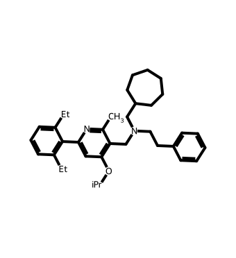 CCc1cccc(CC)c1-c1cc(OC(C)C)c(CN(CCc2ccccc2)CC2CCCCCC2)c(C)n1